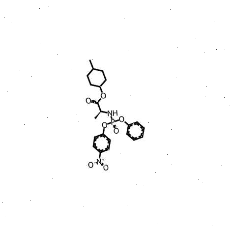 CC1CCC(OC(=O)[C@H](C)NP(=O)(Oc2ccccc2)Oc2ccc([N+](=O)[O-])cc2)CC1